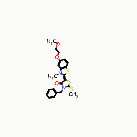 COCCOc1ccc2c(c1)N(C)C(=C1SC(SC)N(Cc3ccccc3)C1=O)S2